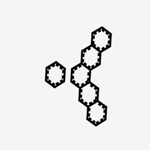 c1ccc2cc3c(ccc4cc5ccccc5cc43)cc2c1.c1ccccc1